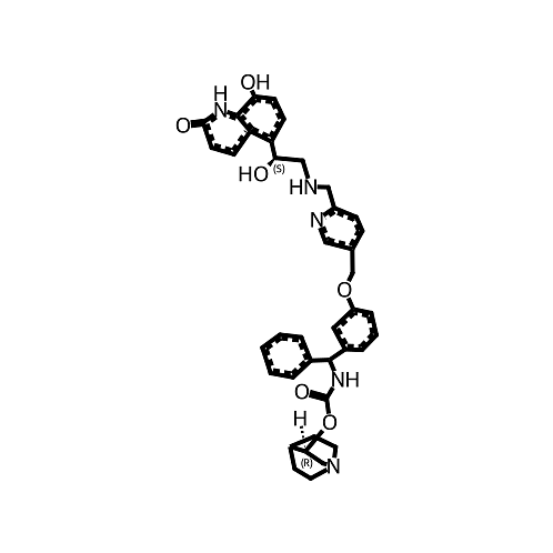 O=C(NC(c1ccccc1)c1cccc(OCc2ccc(CNC[C@@H](O)c3ccc(O)c4[nH]c(=O)ccc34)nc2)c1)O[C@H]1CN2CCC1CC2